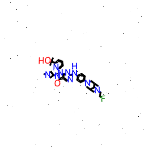 CN1CC(n2c(=O)c3cnc(Nc4ccc(N5CC6CC(CN(CCF)C6)C5)cc4)nc3n2-c2cccc(C(C)(C)O)n2)C1